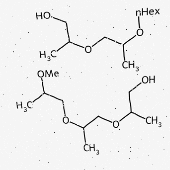 CCCCCCOC(C)COC(C)CO.COC(C)COC(C)COC(C)CO